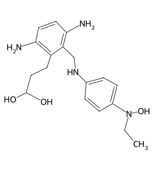 CCN(O)c1ccc(NCc2c(N)ccc(N)c2CCC(O)O)cc1